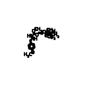 COc1ccc(CNNC(OC)OCCO[Si](C)(C)C(C)(C)C)cc1